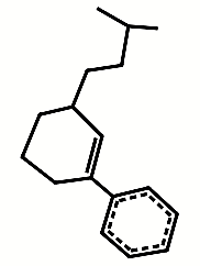 CC(C)CCC1C=C(c2ccccc2)CCC1